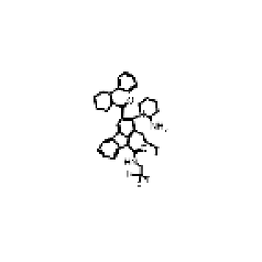 CCCCc1c2c(cc(C(=O)C3CCCCC3c3ccccc3)c1N1CCCCC1N)-c1ccccc1C2C(=O)NCC(F)(F)F